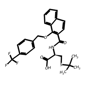 CC(C)(C)SC[C@H](NC(=O)c1ccc2ccccc2c1OCc1ccc(C(F)(F)F)cc1)C(=O)O